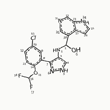 OC(Nc1c[nH]nc1-c1cc(Cl)ccc1OC(F)F)c1cncc2[nH]ccc12